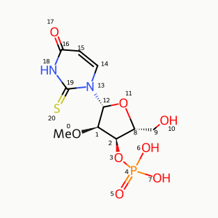 CO[C@@H]1[C@H](OP(=O)(O)O)[C@@H](CO)O[C@H]1n1ccc(=O)[nH]c1=S